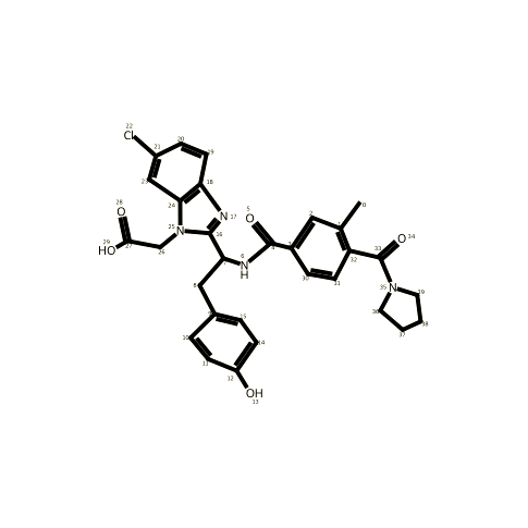 Cc1cc(C(=O)NC(Cc2ccc(O)cc2)c2nc3ccc(Cl)cc3n2CC(=O)O)ccc1C(=O)N1CCCC1